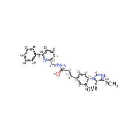 COc1cc(/C=C/C(=O)NCc2cccc(-c3ccccc3)n2)ccc1-n1cnc(C)c1